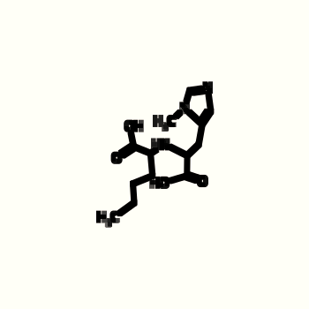 CCCCC(NC(Cc1cncn1C)C(=O)O)C(=O)O